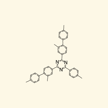 Cc1ccc(-c2nc(-c3ccc(-c4ccc(C)cc4)c(C)c3)nc(-c3ccc(-c4ccc(C)cc4)c(C)c3)n2)cc1